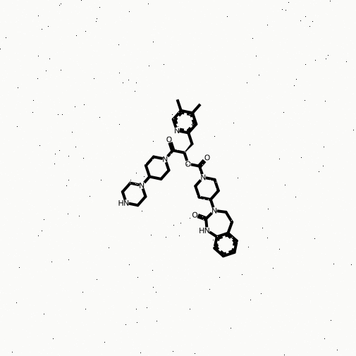 Cc1cnc(C[C@@H](OC(=O)N2CCC(N3CCc4ccccc4NC3=O)CC2)C(=O)N2CCC(N3CCNCC3)CC2)cc1C